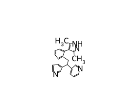 Cc1n[nH]c(C)c1-c1ccccc1CC(c1cccnc1)c1cccnc1